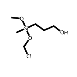 CO[Si](C)(CCCO)OCCl